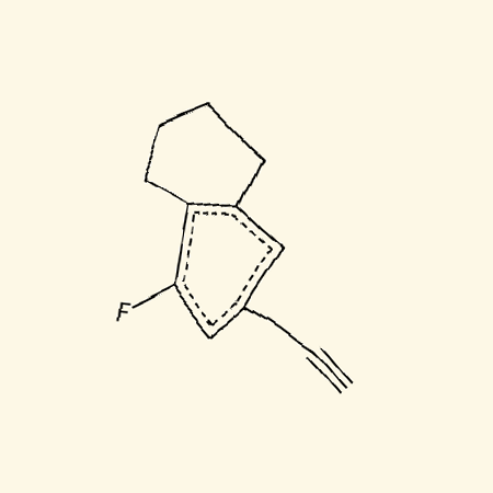 C#Cc1cc(F)c2c(c1)CCCC2